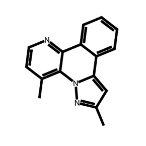 Cc1cc2c3ccccc3c3nccc(C)c3n2n1